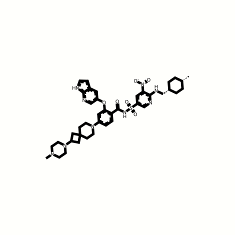 CN1CCN(C2CC3(CCN(c4ccc(C(=O)NS(=O)(=O)c5cnc(NC[C@H]6CC[C@@H](C)CC6)c([N+](=O)[O-])c5)c(Oc5cnc6[nH]ccc6c5)c4)CC3)C2)CC1